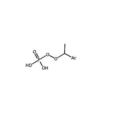 CC(=O)C(C)OOP(=O)(O)O